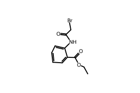 CCOC(=O)c1ccccc1NC(=O)CBr